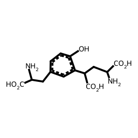 NC(Cc1ccc(O)c(C(CC(N)C(=O)O)C(=O)O)c1)C(=O)O